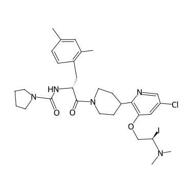 Cc1ccc(C[C@@H](NC(=O)N2CCCC2)C(=O)N2CCC(c3ncc(Cl)cc3OC[C@@H](I)N(C)C)CC2)c(C)c1